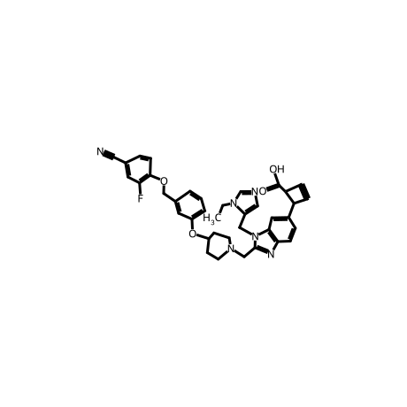 CCn1cncc1Cn1c(CN2CCC(Oc3cccc(COc4ccc(C#N)cc4F)c3)CC2)nc2ccc(C3C#CC3C(=O)O)cc21